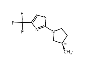 [CH2][C@@H]1CCN(c2nc(C(F)(F)F)cs2)C1